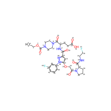 CCOC(=O)N1CCN(C(=O)C(CCC(=O)O)NC(=O)c2cc(OCC(=O)N3CCCC3C(=O)NCCF)n(-c3cccc(F)c3)n2)CC1